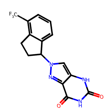 O=c1[nH]c(=O)c2nn(C3CCc4c3cccc4C(F)(F)F)cc2[nH]1